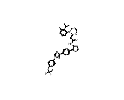 Cc1cccc(N2CCCS/C2=N\C(=O)NC2CCCC2c2ccc(-c3ncn(-c4ccc(OC(F)(F)F)cc4)n3)cc2)c1C(C)C